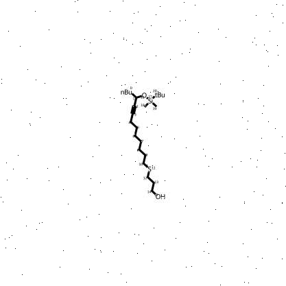 CCCCC(C#CCCCCCCCSCCCO)O[Si](C)(C)C(C)(C)C